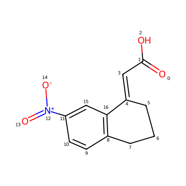 O=C(O)C=C1CCCc2ccc([N+](=O)[O-])cc21